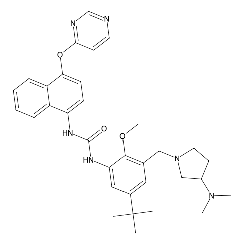 COc1c(CN2CCC(N(C)C)C2)cc(C(C)(C)C)cc1NC(=O)Nc1ccc(Oc2ccncn2)c2ccccc12